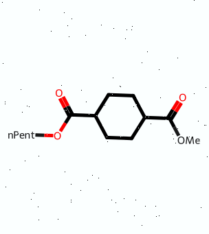 CCCCCOC(=O)C1CCC(C(=O)OC)CC1